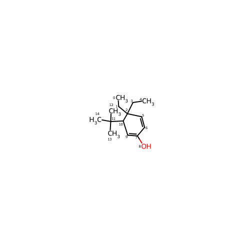 CCC1(CC)C=CC(O)=CC1C(C)(C)C